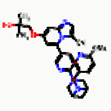 COc1ccc(CN2C3CC2CN(c2ccc(-c4cc(OCC(C)(C)O)cc5ncc(C#N)n45)cn2)C3)cn1